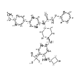 COc1ncc(-c2cnc(N(C(=O)NCc3ccccc3)[C@H]3CC[C@H](Nc4ncc(C(F)(F)F)c(NC5CCC5)n4)CC3)cn2)cn1